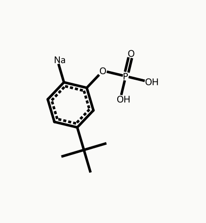 CC(C)(C)c1cc[c]([Na])c(OP(=O)(O)O)c1